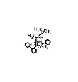 C=C(/C=C(\N=C(/N)c1ccccc1)C(=O)Nc1ccccc1-c1ccccn1)NCCN(C)C